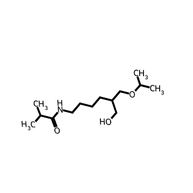 CC(C)OCC(CO)CCCCNC(=O)C(C)C